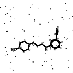 CN1CCN(CCCNc2cccc(C#N)c2)CC1